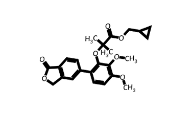 COc1ccc(-c2ccc3c(c2)COC3=O)c(OC(C)(C)C(=O)OCC2CC2)c1OC